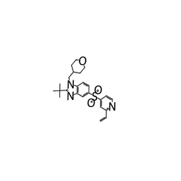 C=Cc1cc(S(=O)(=O)c2ccc3c(c2)nc(C(C)(C)C)n3CC2CCOCC2)ccn1